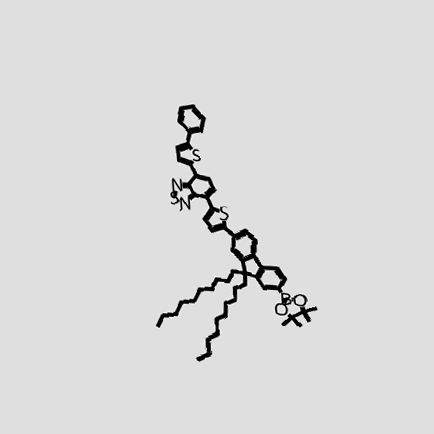 CCCCCCCCCCC1(CCCCCCCCCC)c2cc(B3OC(C)(C)C(C)(C)O3)ccc2-c2ccc(-c3ccc(-c4ccc(-c5ccc(-c6ccccc6)s5)c5nsnc45)s3)cc21